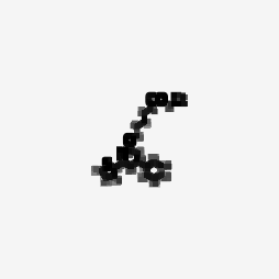 CCOC(=O)CCCCCOc1cc(-c2ccccc2)cc(-c2cccs2)n1